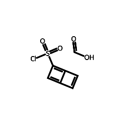 O=CO.O=S(=O)(Cl)c1cc2ccc1-2